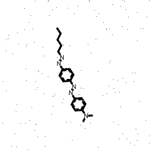 CCCCCN=Nc1ccc(/N=N/c2ccc(N(C)C)cc2)cc1